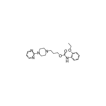 CCOc1ccccc1NC(=O)OCCCN1CCN(c2ncccn2)CC1